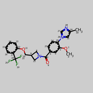 COc1cc(C(=O)N2CC(COc3ccccc3C(F)(F)F)C2)ccc1-n1cnc(C)c1